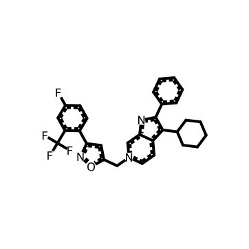 Fc1ccc(-c2cc(Cn3ccc4c(C5CCCCC5)c(-c5ccccc5)nc-4c3)on2)c(C(F)(F)F)c1